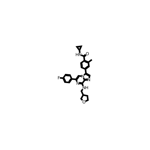 Cc1cc(-c2cnc3c(NCC4CCOC4)nc(-c4ccc(F)cc4)cn23)ccc1C(=O)NC1CC1